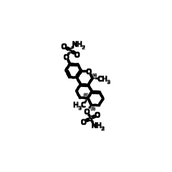 C[C@H]1Oc2cc(OS(N)(=O)=O)ccc2C2=C1C1=CCC[C@H](OS(N)(=O)=O)[C@@]1(C)CC2